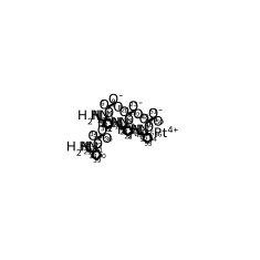 NCC1(NOC(=O)C(=O)[O-])CCCC1.NCC1(NOC(=O)C(=O)[O-])CCCC1.NCC1(NOC(=O)C(=O)[O-])CCCC1.NCC1(NOC(=O)C(=O)[O-])CCCC1.[Pt+4]